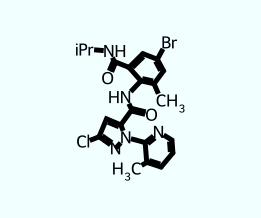 Cc1cccnc1-n1nc(Cl)cc1C(=O)Nc1c(C)cc(Br)cc1C(=O)NC(C)C